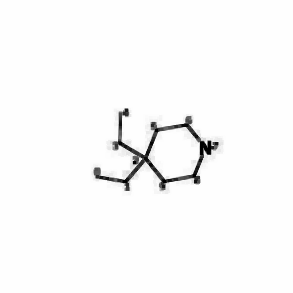 CCC1(CC)CC[N]CC1